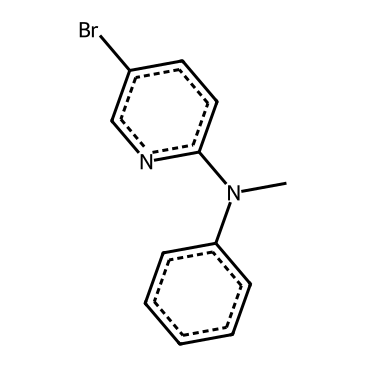 CN(c1ccccc1)c1ccc(Br)cn1